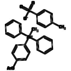 CC(=O)Oc1ccc([As+](C)(c2ccccc2)c2ccccc2)cc1.Cc1ccc(S(=O)(=O)[O-])cc1